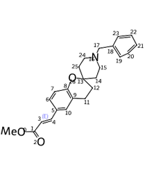 COC(=O)/C=C/c1ccc2c(c1)CCC1(CCN(Cc3ccccc3)CC1)O2